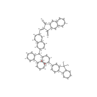 CC1(C)c2ccccc2-c2ccc(-c3ccc(N(c4ccc5cc(C=C6C(=O)c7cc8ccccc8cc7C6=O)ccc5c4)c4ccccc4-c4ccccc4)cc3)cc21